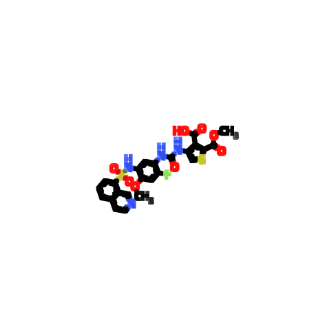 COC(=O)c1scc(NC(=O)Nc2cc(NS(=O)(=O)c3cccc4ccncc34)c(OC)cc2F)c1C(=O)O